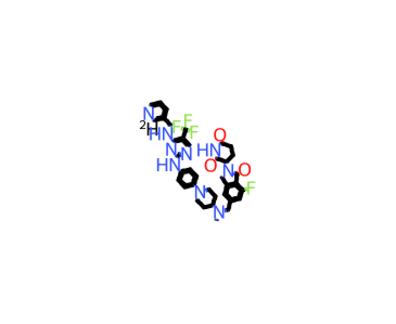 [2H]c1ncccc1CNc1nc(Nc2ccc(N3CCC(N(C)Cc4cc(F)c5c(c4)CN(C4CCC(=O)NC4=O)C5=O)CC3)cc2)ncc1C(F)(F)F